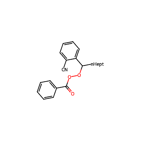 CCCCCCCC(OOC(=O)c1ccccc1)c1ccccc1C#N